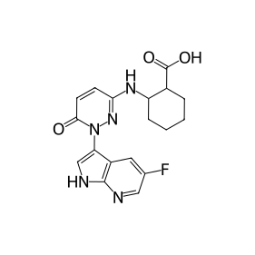 O=C(O)C1CCCCC1Nc1ccc(=O)n(-c2c[nH]c3ncc(F)cc23)n1